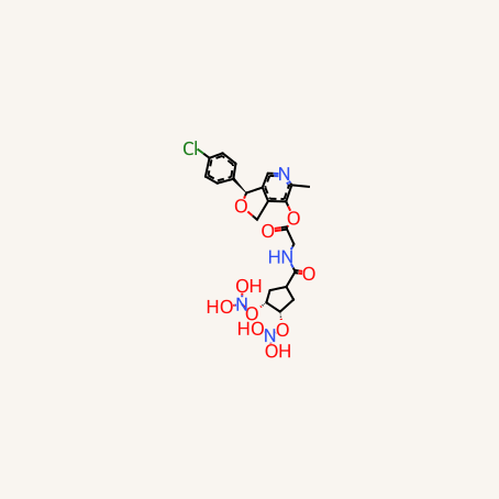 Cc1ncc2c(c1OC(=O)CNC(=O)C1C[C@H](ON(O)O)[C@H](ON(O)O)C1)CO[C@H]2c1ccc(Cl)cc1